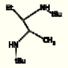 CCC(NC(C)(C)C)C(C)NC(C)(C)C